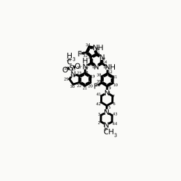 CN1CCN(C2CCN(c3ccc(Nc4nc(Nc5cccc6c5N(S(C)(=O)=O)CC6)c5c(F)c[nH]c5n4)cc3F)CC2)CC1